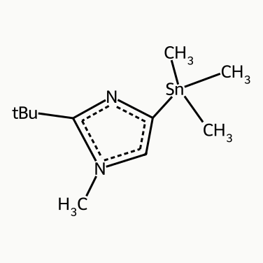 Cn1c[c]([Sn]([CH3])([CH3])[CH3])nc1C(C)(C)C